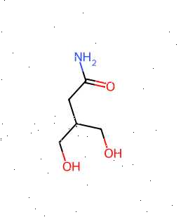 NC(=O)C[C](CO)CO